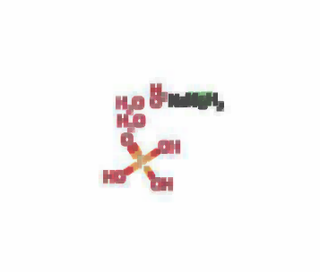 Cl.O.O.O.O=P(O)(O)O.[MgH2].[NaH]